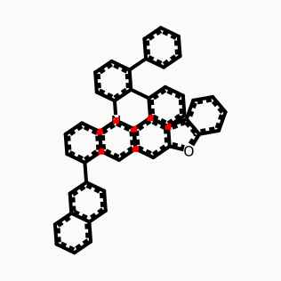 c1ccc(-c2ccccc2-c2c(-c3ccccc3)cccc2N(c2cccc(-c3ccc4ccccc4c3)c2)c2ccc3oc4ccccc4c3c2)cc1